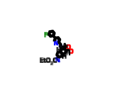 CCOC(=O)N(C)[C@@H]1CC[C@@H]2[C@@H](C1)C[C@H]1C(=O)O[C@H](C)[C@H]1[C@H]2/C=C/c1ccc(-c2cccc(F)c2)cn1